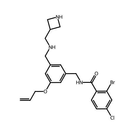 C=CCOc1cc(CNCC2CNC2)cc(CNC(=O)c2ccc(Cl)cc2Br)c1